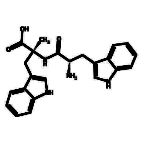 C[C@@](Cc1c[nH]c2ccccc12)(NC(=O)[C@@H](N)Cc1c[nH]c2ccccc12)C(=O)O